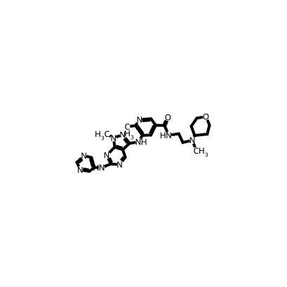 Cc1ncc(C(=O)NCCN(C)C2CCOCC2)cc1Nc1nn(C)c2nc(Nc3cncnc3)ncc12